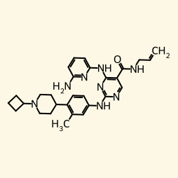 C=CCNC(=O)c1cnc(Nc2ccc(C3CCN(C4CCC4)CC3)c(C)c2)nc1Nc1cccc(N)n1